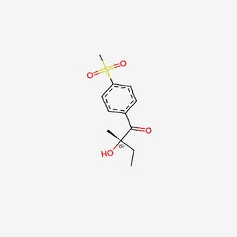 CC[C@](C)(O)C(=O)c1ccc(S(C)(=O)=O)cc1